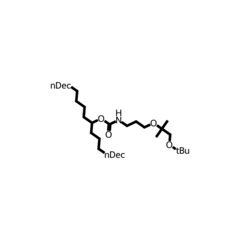 CCCCCCCCCCCCCCC(CCCCCCCCCCCCC)OC(=O)NCCCOC(C)(C)COC(C)(C)C